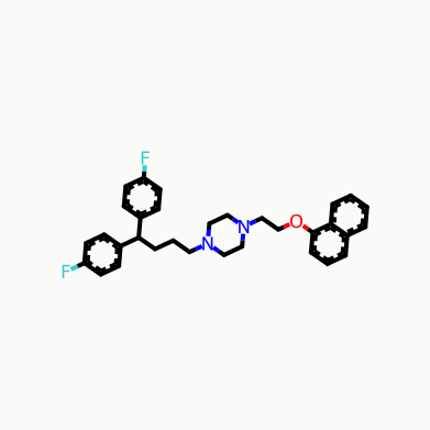 Fc1ccc(C(CCCN2CCN(CCOc3cccc4ccccc34)CC2)c2ccc(F)cc2)cc1